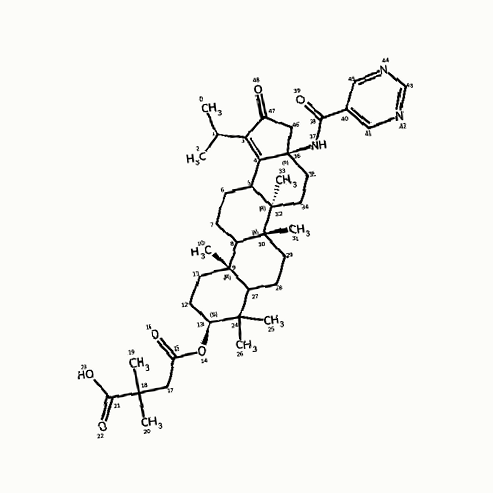 CC(C)C1=C2C3CCC4[C@@]5(C)CC[C@H](OC(=O)CC(C)(C)C(=O)O)C(C)(C)C5CC[C@@]4(C)[C@]3(C)CC[C@@]2(NC(=O)c2cncnc2)CC1=O